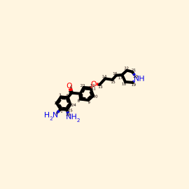 Nc1ccc(C(=O)c2cccc(OCCCCC3CCNCC3)c2)cc1N